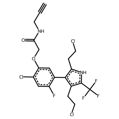 C#CCNC(=O)COc1cc(-c2c(CCCl)[nH]c(C(F)(F)F)c2CCCl)c(F)cc1Cl